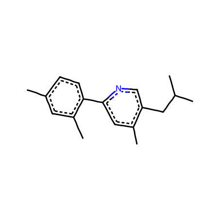 Cc1ccc(-c2cc(C)c(CC(C)C)cn2)c(C)c1